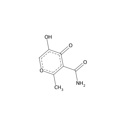 Cc1occ(O)c(=O)c1C(N)=O